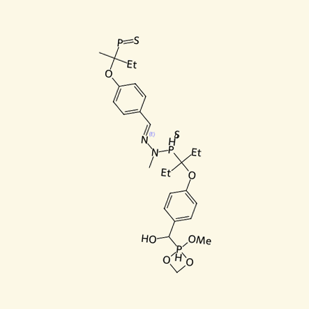 CCC(C)(Oc1ccc(/C=N/N(C)[PH](=S)C(CC)(CC)Oc2ccc(C(O)[PH]3(OC)OCO3)cc2)cc1)P=S